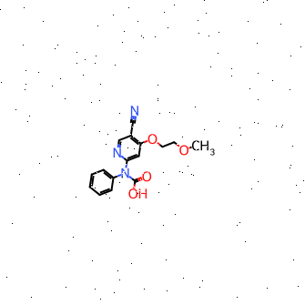 COCCOc1cc(N(C(=O)O)c2ccccc2)ncc1C#N